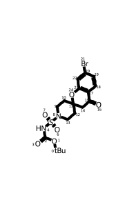 CC(C)(C)OC(=O)NS(=O)(=O)N1CCC2(CC1)CC(=O)c1ccc(Br)cc1O2